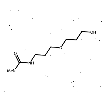 CNC(=O)NCCCOCCCO